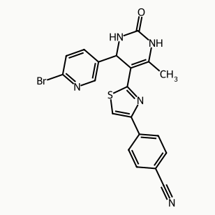 CC1=C(c2nc(-c3ccc(C#N)cc3)cs2)C(c2ccc(Br)nc2)NC(=O)N1